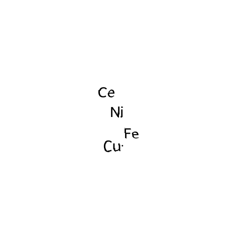 [Ce].[Cu].[Fe].[Ni]